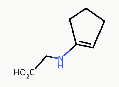 O=C(O)CNC1=CCCC1